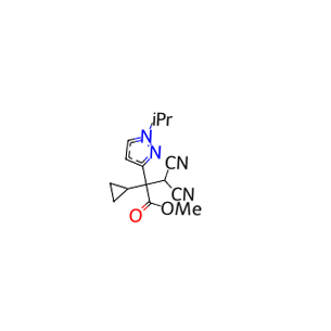 COC(=O)C(c1ccn(C(C)C)n1)(C(C#N)C#N)C1CC1